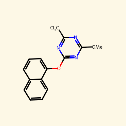 COc1nc(Oc2cccc3ccccc23)nc(C(Cl)(Cl)Cl)n1